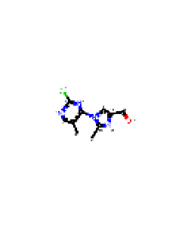 Cc1cnc(Cl)nc1-n1cc(C=O)nc1C